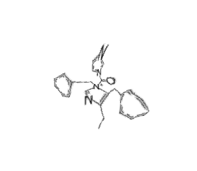 CCC1=C(Cc2ccccc2)[N+](Cc2ccccc2)(C(=O)n2ccnc2)C=N1